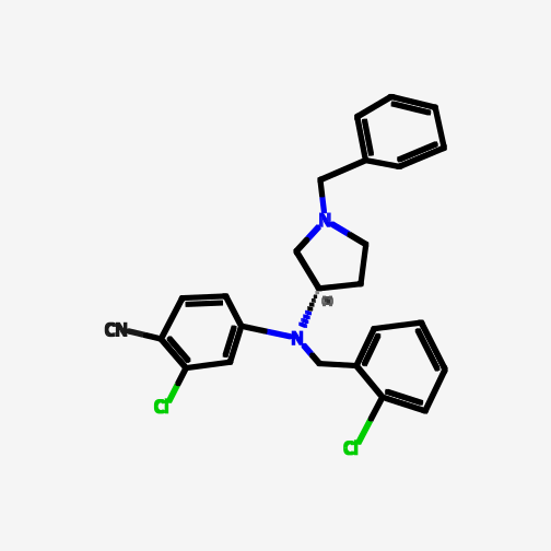 [C-]#[N+]c1ccc(N(Cc2ccccc2Cl)[C@H]2CCN(Cc3ccccc3)C2)cc1Cl